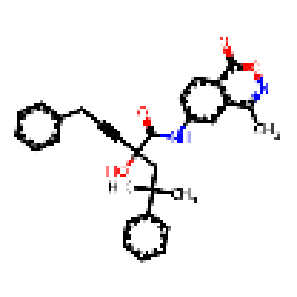 Cc1noc(=O)c2ccc(NC(=O)C(O)(C#CCc3ccccc3)CC(C)(C)c3ccccc3)cc12